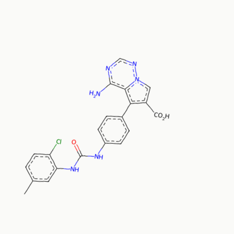 Cc1ccc(Cl)c(NC(=O)Nc2ccc(-c3c(C(=O)O)cn4ncnc(N)c34)cc2)c1